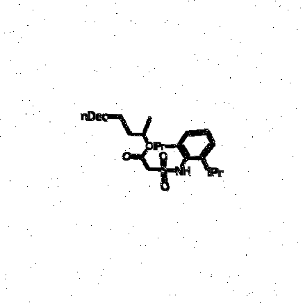 CCCCCCCCCCCCC(C)OC(=O)CS(=O)(=O)Nc1c(C(C)C)cccc1C(C)C